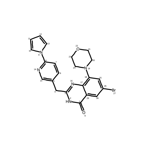 O=c1[nH]c(Cc2ccc(-n3cccc3)nc2)nc2c(N3CCOCC3)cc(Br)cc12